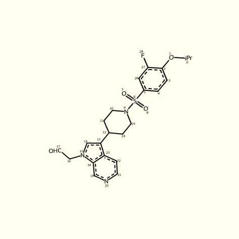 CC(C)Oc1ccc(S(=O)(=O)N2CCC(c3cn(CC=O)c4cnccc34)CC2)cc1F